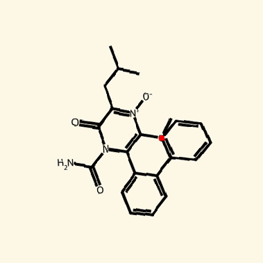 COc1c(-c2ccccc2-c2ccccc2)n(C(N)=O)c(=O)c(CC(C)C)[n+]1[O-]